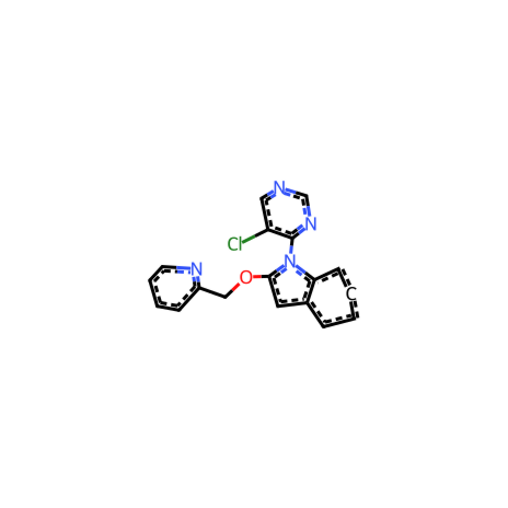 Clc1cncnc1-n1c(OCc2ccccn2)cc2ccccc21